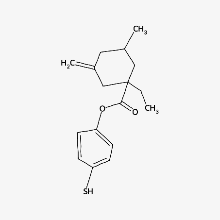 C=C1CC(C)CC(CC)(C(=O)Oc2ccc(S)cc2)C1